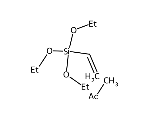 C=C[Si](OCC)(OCC)OCC.CC(C)=O